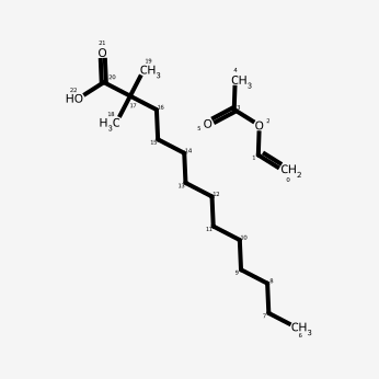 C=COC(C)=O.CCCCCCCCCCCC(C)(C)C(=O)O